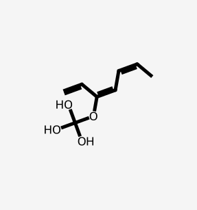 C=C/C(=C\C=C/C)OC(O)(O)O